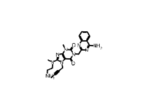 CC#CCn1c(N(C)CCN)nc2c1c(=O)n(Cc1nc(N)c3ccccc3n1)c(=O)n2C